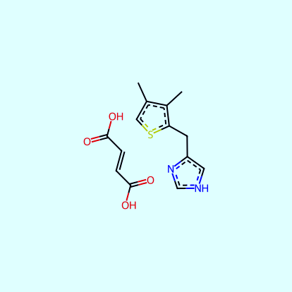 Cc1csc(Cc2c[nH]cn2)c1C.O=C(O)/C=C/C(=O)O